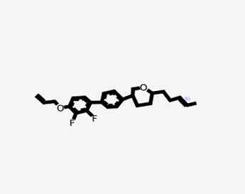 C=CCOc1ccc(-c2ccc(C3CCC(CC/C=C/C)OC3)cc2)c(F)c1F